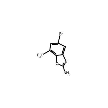 Nc1nc2cc(Br)cc(C(F)(F)F)c2o1